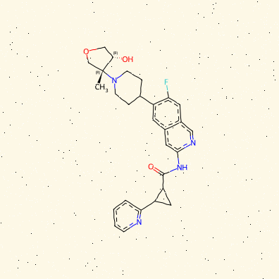 C[C@@]1(N2CCC(c3cc4cc(NC(=O)C5CC5c5ccccn5)ncc4cc3F)CC2)COC[C@@H]1O